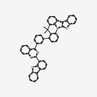 CC1(C)c2c(-c3cccc(-c4nc(-c5cccc6c5oc5ccccc56)nc5ccccc45)c3)cccc2-n2c3oc4ccccc4c3c3cccc1c32